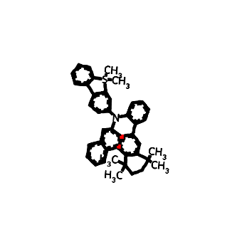 CC1(C)CCC(C)(C)c2cc(-c3ccccc3N(c3ccc4c(c3)S(C)(C)c3ccccc3-4)c3ccc4ccccc4c3)ccc21